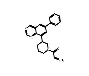 C=CC(=O)N1CCCC(c2cc(-c3ccccc3)cc3cncnc23)C1